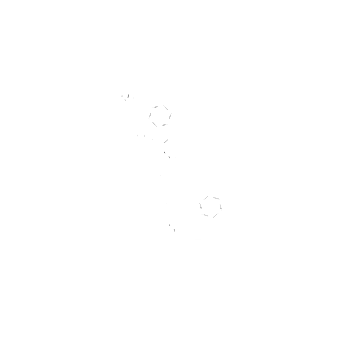 COc1cccc(C(O)(C(=O)N(C)CC2CC(C3CCN(C(=O)O)C(Cc4ccccc4)C3)C2)C(F)(F)F)c1